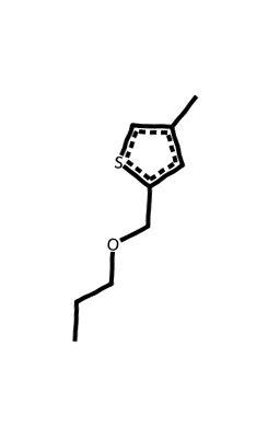 CCCOCc1cc(C)cs1